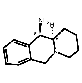 N[C@@H]1c2ccccc2CN2CCCC[C@H]12